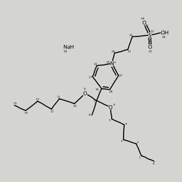 CCCCCCOC(C)(OCCCCCC)c1cc[n+](CCCS(=O)(=O)O)cc1.[NaH]